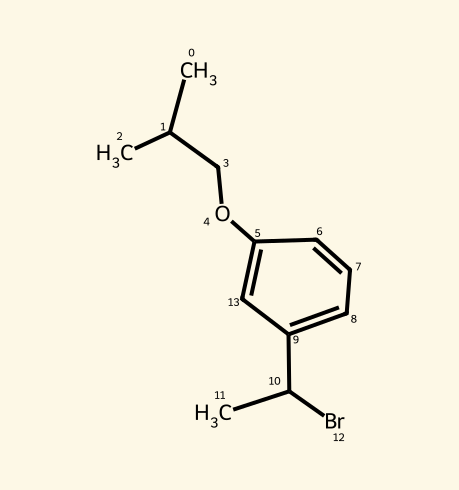 CC(C)COc1cccc(C(C)Br)c1